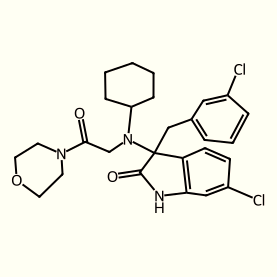 O=C(CN(C1CCCCC1)C1(Cc2cccc(Cl)c2)C(=O)Nc2cc(Cl)ccc21)N1CCOCC1